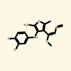 C=N/C=C(/OC)c1c(C)oc(N)c1Nc1ccc(F)c(Cl)c1